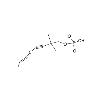 CC=CCC#CC(C)(C)COP(=O)(O)O